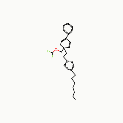 CCCCCCCc1ccc(CCC2(COC(F)F)C=CC(c3ccccc3)=CC2)cc1